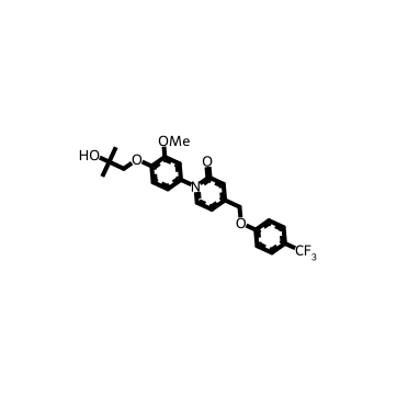 COc1cc(-n2ccc(COc3ccc(C(F)(F)F)cc3)cc2=O)ccc1OCC(C)(C)O